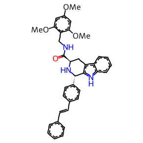 COc1cc(OC)c(CNC(=O)[C@H]2Cc3c([nH]c4ccccc34)[C@H](c3ccc(/C=C/c4ccccc4)cc3)N2)c(OC)c1